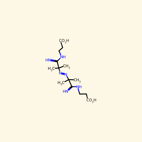 CC(C)(N=NC(C)(C)C(=N)NCCC(=O)O)C(=N)NCCC(=O)O